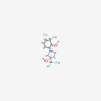 COc1c(N2CCC(OC)(C(F)F)C2)ccc(F)c1F